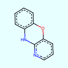 c1ccc2c(c1)Nc1ncccc1O2